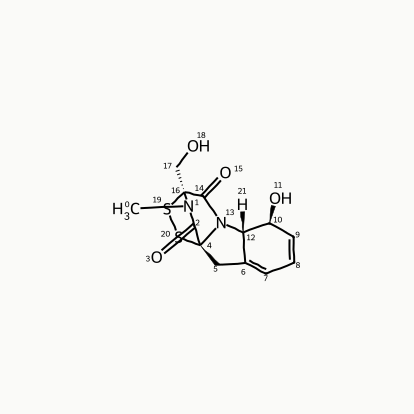 CN1C(=O)[C@]23CC4=CC=C[C@H](O)[C@H]4N2C(=O)[C@]1(CO)SS3